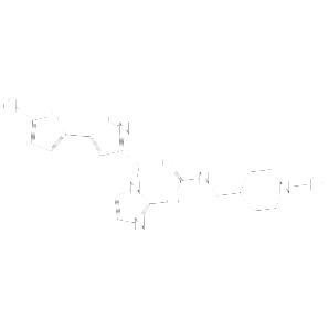 CC(C)N1CCC(CNC(=O)Oc2nccn2Cc2cc(-c3ccc(Cl)s3)on2)CC1